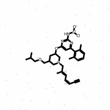 C#C/C=C\C=C(/C)CN1CC(COCC(C)C)CC(Oc2cc(-c3c(C)cccc3C)nc(N[S+]([O-])Cl)n2)C1